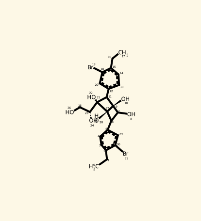 CCc1ccc(C2C(O)[C@@]3(O)C(c4ccc(CC)c(Br)c4)[C@@](O)([C@H](O)CO)[C@@]23O)cc1Br